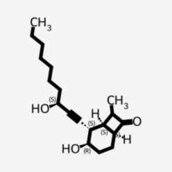 CCCCCCC[C@H](O)C#C[C@@H]1[C@H]2C(C)C(=O)[C@H]2CC[C@H]1O